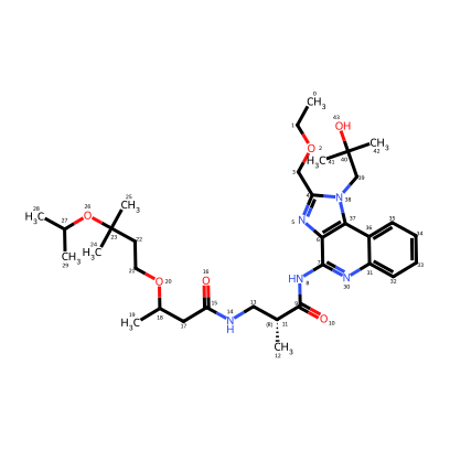 CCOCc1nc2c(NC(=O)[C@H](C)CNC(=O)CC(C)OCCC(C)(C)OC(C)C)nc3ccccc3c2n1CC(C)(C)O